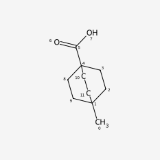 CC12CCC(C(=O)O)(CC1)CC2